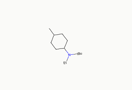 CCN(C1CCC(C)CC1)C(C)(C)C